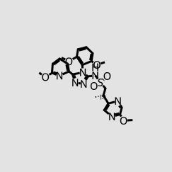 COc1cnc([C@H](C)CS(=O)(=O)Nc2nnc(-c3cccc(OC)n3)n2-c2c(OC)cccc2OC)cn1